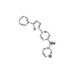 c1ccc(-c2ccc(-c3ccc(Nc4cccnc4)cc3)s2)cc1